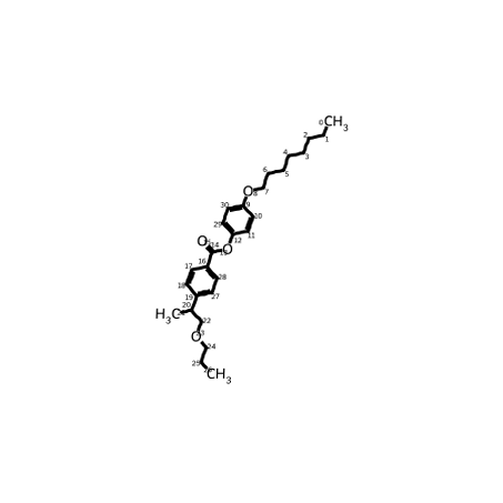 CCCCCCCCOc1ccc(OC(=O)c2ccc(C(C)COCCC)cc2)cc1